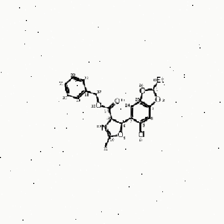 CCC1Oc2cc(Cl)c(C3OC(C)=NC3C(=O)OCc3ccccc3)cc2O1